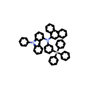 c1ccc(-n2c3ccccc3c3c(N(c4cccc([Si](c5ccccc5)(c5ccccc5)c5ccccc5)c4)c4cc5ccccc5c5ccccc45)cccc32)cc1